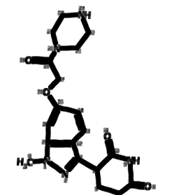 Cn1nc(C2CCC(=O)NC2=O)c2ccc(OCC(=O)N3CCNCC3)cc21